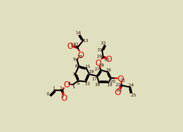 C=CC(=O)OCc1cc(COC(=O)C=C)cc(-c2ccc(OC(=O)C=C)cc2OC(=O)C=C)c1